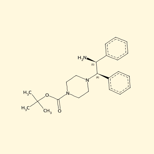 CC(C)(C)OC(=O)N1CCN([C@H](c2ccccc2)[C@@H](N)c2ccccc2)CC1